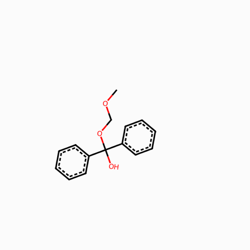 COCOC(O)(c1ccccc1)c1ccccc1